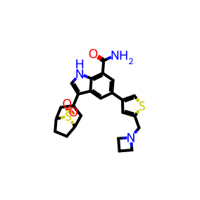 NC(=O)c1cc(-c2csc(CN3CCC3)c2)cc2c(C3CC4CCC(C3)S4(=O)=O)c[nH]c12